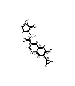 O=C(N[C@H]1CCNC1=O)c1cnc2cc(C3CC3)c(F)cc2c1